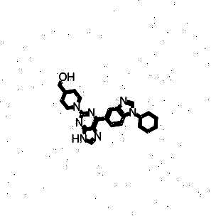 OC[C]1CCN(c2nc(-c3ccc4c(c3)ncn4C3CCCCC3)c3nc[nH]c3n2)CC1